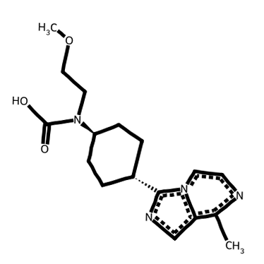 COCCN(C(=O)O)[C@H]1CC[C@H](c2ncc3c(C)nccn32)CC1